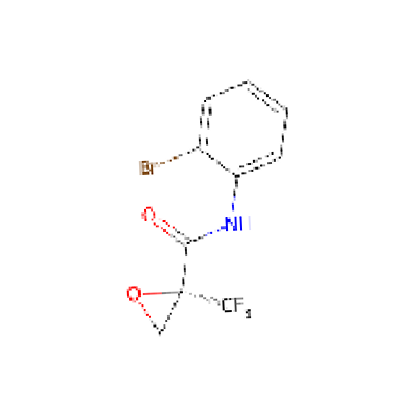 O=C(Nc1ccccc1Br)[C@@]1(C(F)(F)F)CO1